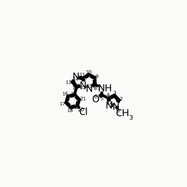 Cn1ccc(C(=O)Nc2ccc3ncc(-c4cccc(Cl)c4)n3n2)n1